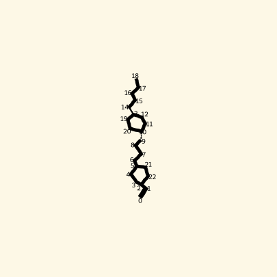 C=CC1CCC(CCCC[C@H]2CC[C@H](CCCCC)CC2)CC1